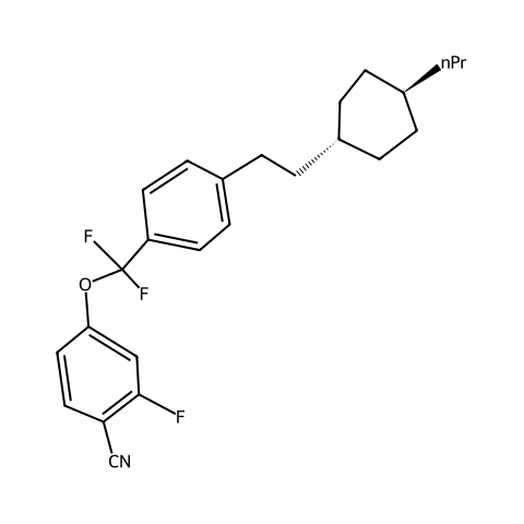 CCC[C@H]1CC[C@H](CCc2ccc(C(F)(F)Oc3ccc(C#N)c(F)c3)cc2)CC1